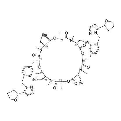 CC(C)CC1C(=O)O[C@H](C)C(=O)N(C)[C@@H](CC(C)C)C(=O)O[C@H](Cc2ccc(Cn3nccc3C3CCCO3)cc2)C(=O)N(C)[C@@H](CC(C)C)C(=O)O[C@H](C)C(=O)N(C)[C@@H](CC(C)C)C(=O)O[C@H](Cc2ccc(Cn3nccc3C3CCCO3)cc2)C(=O)N1C